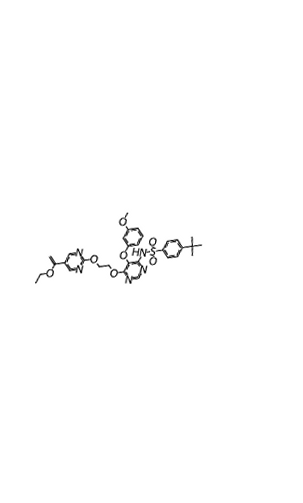 C=C(OCC)c1cnc(OCCOc2ncnc(NS(=O)(=O)c3ccc(C(C)(C)C)cc3)c2Oc2cccc(OC)c2)nc1